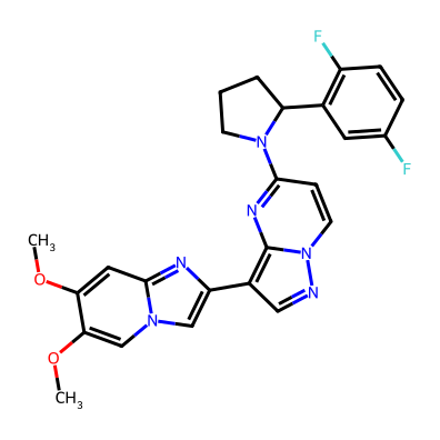 COc1cc2nc(-c3cnn4ccc(N5CCCC5c5cc(F)ccc5F)nc34)cn2cc1OC